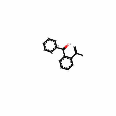 C=C(C)c1ccccc1C(=O)c1ccccc1